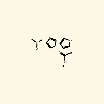 CCC(=O)CC.C[S+](C)[O-].F.c1cc[nH]c1.c1cscn1